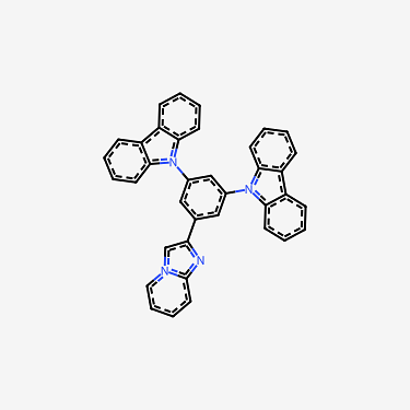 c1ccc2c(c1)c1ccccc1n2-c1cc(-c2cn3ccccc3n2)cc(-n2c3ccccc3c3ccccc32)c1